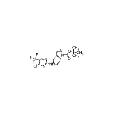 CC(C)(C)OC(=O)n1ncc2cc(Nc3ncc(C(F)(F)F)c(Cl)n3)ccc21